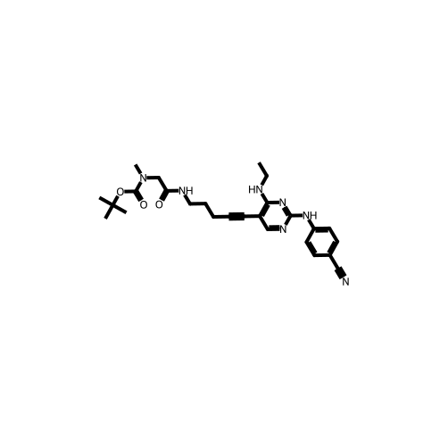 CCNc1nc(Nc2ccc(C#N)cc2)ncc1C#CCCCNC(=O)CN(C)C(=O)OC(C)(C)C